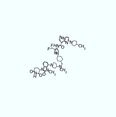 CC1CCN(c2ccn3ncc(C(=O)Nc4cn([C@H]5CC[C@H](CN(C)C6CCN(c7cccc8c7n(C)c(=O)n8C7CCC(=O)NC7=O)CC6)CC5)nc4C(F)F)c3n2)CC1